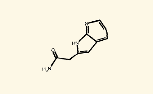 NC(=O)Cc1cc2cccnc2[nH]1